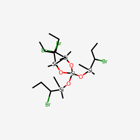 CCC(Br)[Si](C)(C)O[Si](O[Si](C)(C)C(Br)CC)(O[Si](C)(C)C(Br)CC)O[Si](C)(C)C(Br)CC